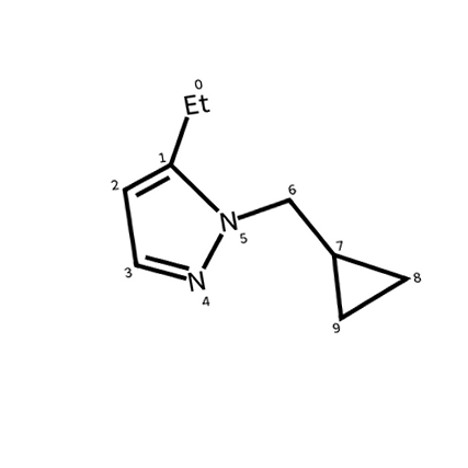 CCc1ccnn1CC1CC1